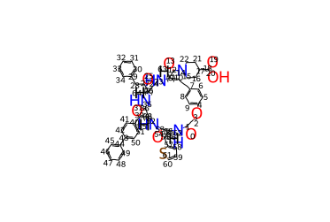 O=C1COc2ccc(cc2)C[C@@H](C(=O)N2CCC(C(=O)O)CC2)NC(=O)[C@@H](CCc2ccccc2)NC(=O)[C@H](Cc2ccc(-c3ccccc3)cc2)NC(=O)[C@@H](Cc2cccs2)N1